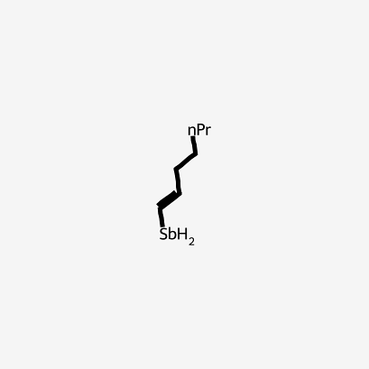 CCCCCC=[CH][SbH2]